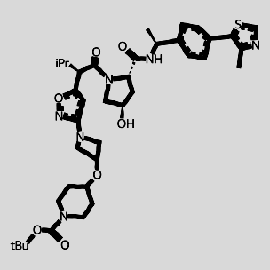 Cc1ncsc1-c1ccc([C@H](C)NC(=O)[C@@H]2C[C@@H](O)CN2C(=O)[C@@H](c2cc(N3CC(OC4CCN(C(=O)OC(C)(C)C)CC4)C3)no2)C(C)C)cc1